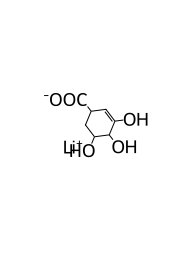 O=C([O-])C1C=C(O)C(O)C(O)C1.[Li+]